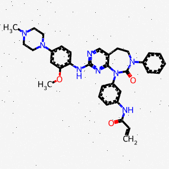 C=CC(=O)Nc1cccc(N2C(=O)N(c3ccccc3)CCc3cnc(Nc4ccc(N5CCN(C)CC5)cc4OC)nc32)c1